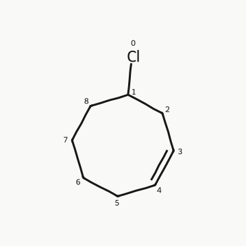 ClC1C/C=C\CCCC1